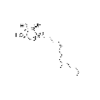 CC(=CCCCO[C@H]1OC[C@@H](O)[C@H](O)[C@H]1O)CCCC(C)CCCC(C)C